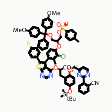 COc1ccc(C(OCC(COS(=O)(=O)c2ccc(C)cc2)Oc2ccc(-c3c(-c4ccc(F)cc4)sc4ncnc(OC(Cc5cc(O[Si](C)(C)C(C)(C)C)ccc5OCc5ccnc(-c6ccccc6C#N)n5)C(=O)O)c34)c(C)c2Cl)(c2ccccc2)c2ccc(OC)cc2)cc1